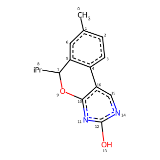 Cc1ccc2c(c1)C(C(C)C)Oc1nc(O)ncc1-2